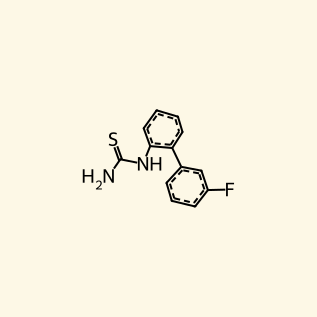 NC(=S)Nc1ccccc1-c1cccc(F)c1